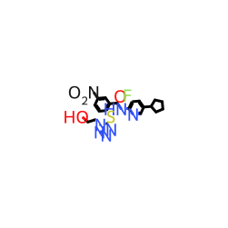 O=C(Nc1ncc(C2CCCC2)cc1F)c1cc([N+](=O)[O-])ccc1Sc1nnnn1CCO